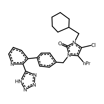 CCCc1c(Cl)n(CC2CCCCC2)c(=O)n1Cc1ccc(-c2cccnc2-c2nnn[nH]2)cc1